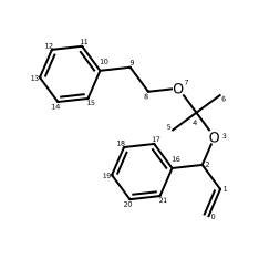 C=CC(OC(C)(C)OCCc1ccccc1)c1ccccc1